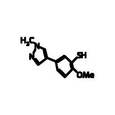 COc1ccc(-c2cnn(C)c2)cc1S